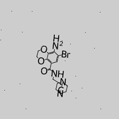 Nc1c(Br)cc(C(=O)NCC2CN3CCN2CC3)c2c1OCCO2